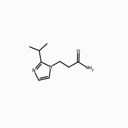 CC(C)c1nccn1CCC(N)=O